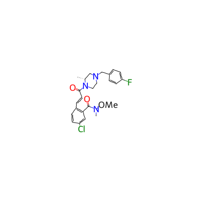 CON(C)C(=O)c1cc(Cl)ccc1C=CC(=O)N1CCN(Cc2ccc(F)cc2)C[C@H]1C